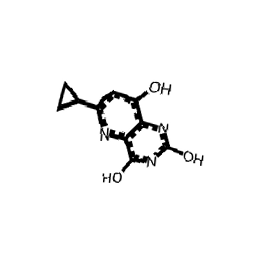 Oc1nc(O)c2nc(C3CC3)cc(O)c2n1